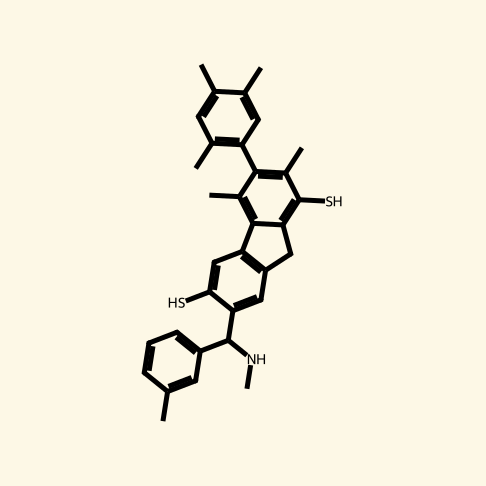 CNC(c1cccc(C)c1)c1cc2c(cc1S)-c1c(C)c(-c3cc(C)c(C)cc3C)c(C)c(S)c1C2